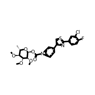 CO[C@@H]1[C@@H](OC)[C@H](C)O[C@@H](OC(=O)N2c3ccc(-c4csc(-c5ccc(F)c(Cl)c5)n4)cc32)[C@@H]1OC